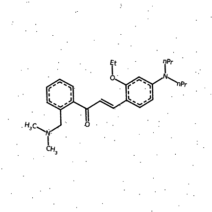 CCCN(CCC)c1ccc(C=CC(=O)c2ccccc2CN(C)C)c(OCC)c1